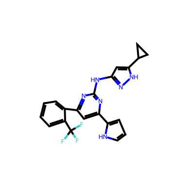 FC(F)(F)c1ccccc1-c1cc(-c2ccc[nH]2)nc(Nc2cc(C3CC3)[nH]n2)n1